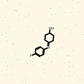 OC1CCC(=Nc2ccc(F)cc2)CC1